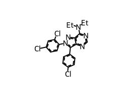 CCN(CC)c1ncnc2c(-c3ccc(Cl)cc3)n(-c3ccc(Cl)cc3Cl)nc12